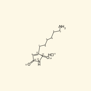 Cl.NCCCCCCC1=CC(=O)NC1=O